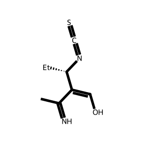 CC[C@H](N=C=S)/C(=C/O)C(C)=N